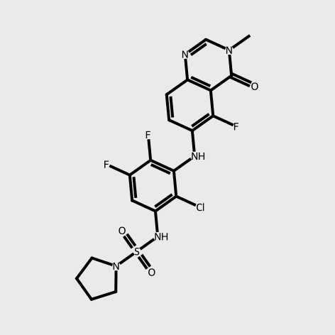 Cn1cnc2ccc(Nc3c(F)c(F)cc(NS(=O)(=O)N4CCCC4)c3Cl)c(F)c2c1=O